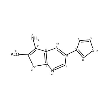 CC(=O)Oc1sc2ncc(-c3ccsc3)nc2c1N